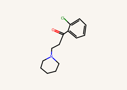 O=C(CCN1CCCCC1)c1ccccc1Cl